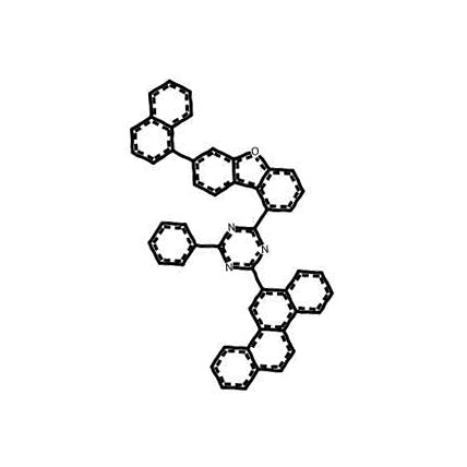 c1ccc(-c2nc(-c3cc4c5ccccc5ccc4c4ccccc34)nc(-c3cccc4oc5cc(-c6cccc7ccccc67)ccc5c34)n2)cc1